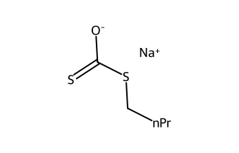 CCCCSC([O-])=S.[Na+]